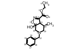 CCOC(=O)C1=NOC2(O)CN(Cc3ccccc3)C[C@H](C)C12